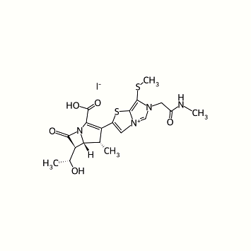 CNC(=O)Cn1c[n+]2cc(C3=C(C(=O)O)N4C(=O)[C@H]([C@@H](C)O)[C@H]4[C@H]3C)sc2c1SC.[I-]